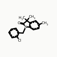 Cc1ccc2c(c1)C(C)(C)C(=O)N2Cc1ccccc1Cl